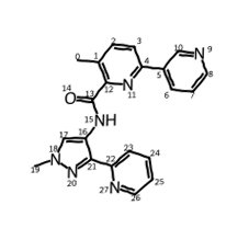 Cc1ccc(-c2cccnc2)nc1C(=O)Nc1cn(C)nc1-c1ccccn1